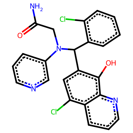 NC(=O)CN(c1cccnc1)C(c1ccccc1Cl)c1cc(Cl)c2cccnc2c1O